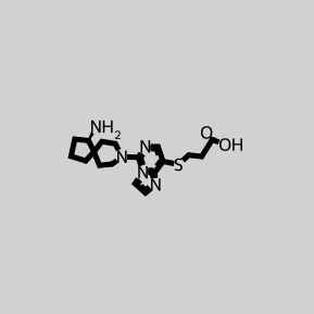 N[C@@H]1CCCC12CCN(c1ncc(SCCC(=O)O)c3nccn13)CC2